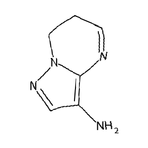 Nc1cnn2c1N=CCC2